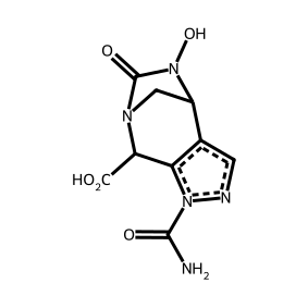 NC(=O)n1ncc2c1C(C(=O)O)N1CC2N(O)C1=O